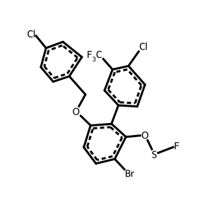 FSOc1c(Br)ccc(OCc2ccc(Cl)cc2)c1-c1ccc(Cl)c(C(F)(F)F)c1